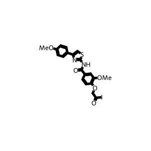 COc1ccc(-c2csc(NC(=O)c3ccc(OCC(=O)I)c(OC)c3)n2)cc1